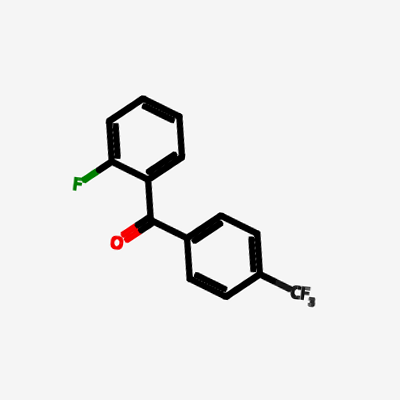 O=C(c1ccc(C(F)(F)F)cc1)c1ccccc1F